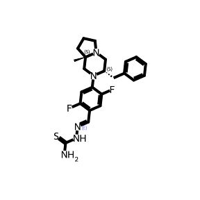 C[C@@]12CCCN1C[C@H](Cc1ccccc1)N(c1cc(F)c(/C=N/NC(N)=S)cc1F)C2